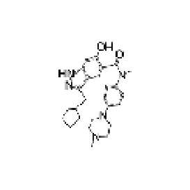 CN1CCN(c2ccc(N(C)C(=O)c3cc4c(CC5CCCC5)n[nH]c4cc3O)cc2)CC1